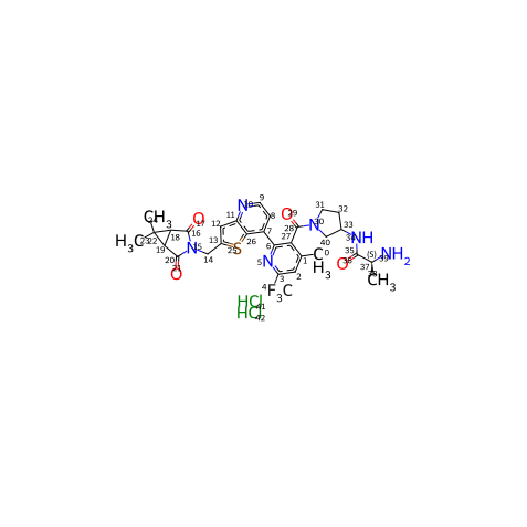 Cc1cc(C(F)(F)F)nc(-c2ccnc3cc(CN4C(=O)C5C(C4=O)C5(C)C)sc23)c1C(=O)N1CCC(NC(=O)[C@H](C)N)C1.Cl.Cl